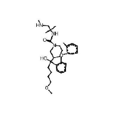 CNCC(C)(C)NC(=O)N1CCCC(C(O)(CCCCOC)c2ccccc2Oc2ccccc2C)C1